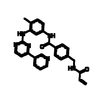 C=CC(=O)NCc1ccc(C(=O)Nc2ccc(C)c(Nc3nccc(-c4cccnc4)n3)c2)cc1